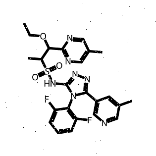 CCOC(c1ncc(C)cn1)C(C)S(=O)(=O)Nc1nnc(-c2cncc(C)c2)n1-c1c(F)cccc1F